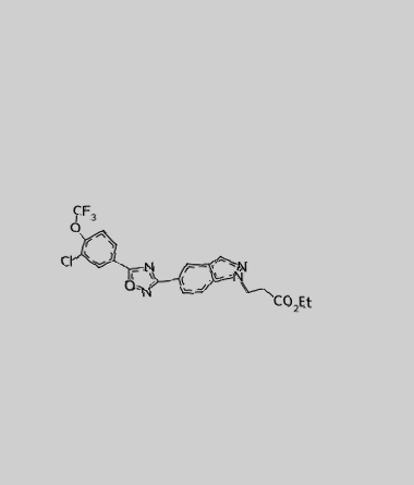 CCOC(=O)CCn1ncc2cc(-c3noc(-c4ccc(OC(F)(F)F)c(Cl)c4)n3)ccc21